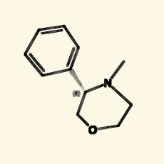 CN1CCOC[C@@H]1c1ccccc1